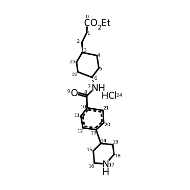 CCOC(=O)CC[C@H]1CC[C@H](NC(=O)c2ccc(C3CCNCC3)cc2)CC1.Cl